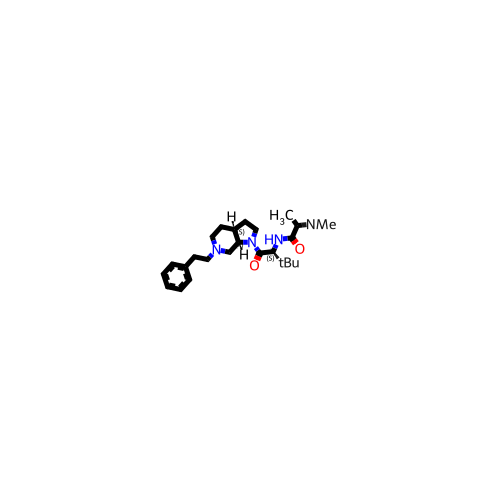 CNC(C)C(=O)N[C@H](C(=O)N1CC[C@@H]2CCN(CCc3ccccc3)C[C@@H]21)C(C)(C)C